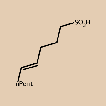 CCCCCC=CCCCS(=O)(=O)O